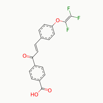 O=C(O)c1ccc(C(=O)C=Cc2ccc(OC(F)=C(F)F)cc2)cc1